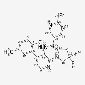 Cc1ccc(C)c(-c2ccnc(N3CCC(F)(F)C3)c2NC(=O)c2cnc(C(C)C)nc2)c1